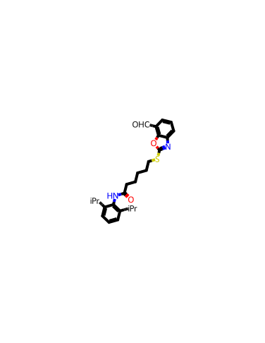 CC(C)c1cccc(C(C)C)c1NC(=O)CCCCCSc1nc2cccc(C=O)c2o1